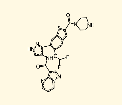 O=C(Nc1c[nH]nc1-c1cc2sc(C(=O)N3CCNCC3)cc2cc1OC(F)F)c1cnn2cccnc12